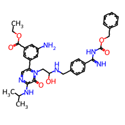 CCOC(=O)c1cc(N)cc(-c2cnc(NC(C)C)c(=O)n2CC(O)NCc2ccc(C(=N)NC(=O)OCc3ccccc3)cc2)c1